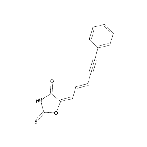 O=C1NC(=S)OC1=CC=CC#Cc1ccccc1